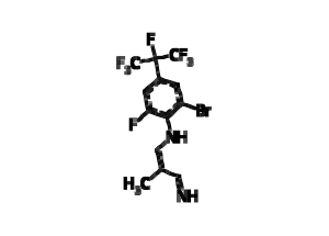 C/C(C=N)=C/Nc1c(F)cc(C(F)(C(F)(F)F)C(F)(F)F)cc1Br